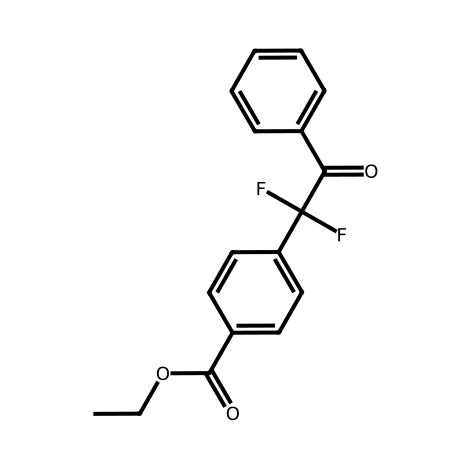 CCOC(=O)c1ccc(C(F)(F)C(=O)c2ccccc2)cc1